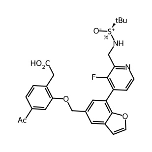 CC(=O)c1ccc(CC(=O)O)c(OCc2cc(-c3ccnc(CN[S@@+]([O-])C(C)(C)C)c3F)c3occc3c2)c1